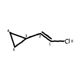 ClC=CC1CC1